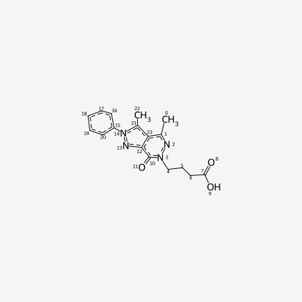 Cc1nn(CCCC(=O)O)c(=O)c2nn(-c3ccccc3)c(C)c12